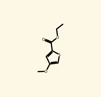 CCOC(=O)c1cc(OC)cs1